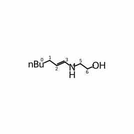 CCCCCC=CNCCO